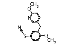 COc1ccc(Cc2cc(SC#N)ccc2OC)cn1